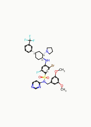 COc1cc(CN(c2ccncn2)S(=O)(=O)c2cc(Br)c(N[C@H]3CC[C@H](c4cccc(C(F)(F)F)c4)C[C@@H]3N3CCCC3)cc2F)cc(OC)c1